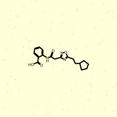 O=C(Cc1noc(CCC2CCCC2)n1)Nc1ccccc1C(=O)O